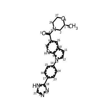 C[C@H]1CN(C(=O)c2cnc3c(ccn3-c3ccc(-c4nnc[nH]4)cc3)c2)CCO1